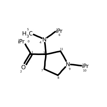 CC(C)C(=O)C1(N(C)C(C)C)CCN(C(C)C)C1